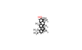 CC1C2C3=CCC4C5(C)CC[C@H](O)C(C)(C)C5CCC4(C)[C@]3(C)CC[C@@]2(C)CC[C@H]1C